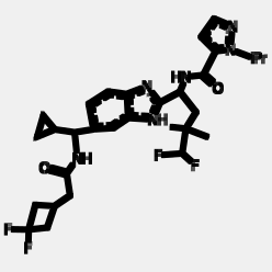 CC(C)n1nccc1C(=O)NC(CC(C)(C)C(F)F)c1nc2ccc(C(NC(=O)CC3CC(F)(F)C3)C3CC3)cc2[nH]1